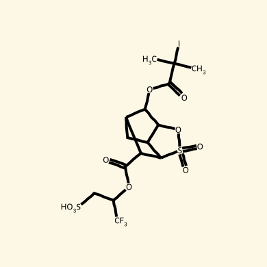 CC(C)(I)C(=O)OC1C2CC3C1OS(=O)(=O)C3C2C(=O)OC(CS(=O)(=O)O)C(F)(F)F